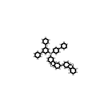 c1ccc(-c2ccc(N(c3cc(-c4ccccc4)cc(-c4ccccc4)c3)c3ccc4oc5ccc(-c6ccc7oc8ccccc8c7c6)cc5c4c3)cc2)cc1